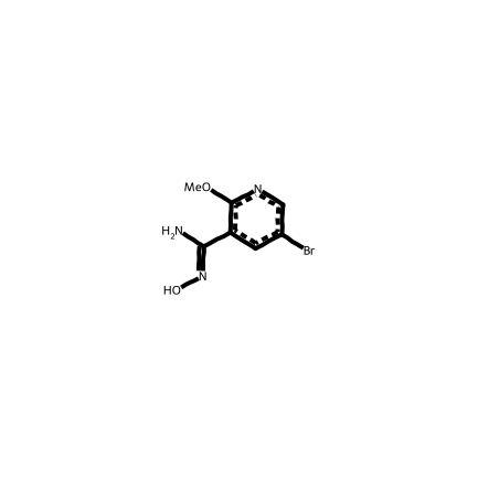 COc1ncc(Br)cc1/C(N)=N/O